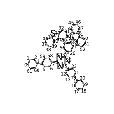 c1ccc(-c2ccc(-c3nc(-c4ccc(-c5ccccc5)cc4)nc(-c4ccc(C5(c6ccc7sc8ccccc8c7c6)c6ccccc6-c6ccccc65)cc4)n3)cc2)cc1